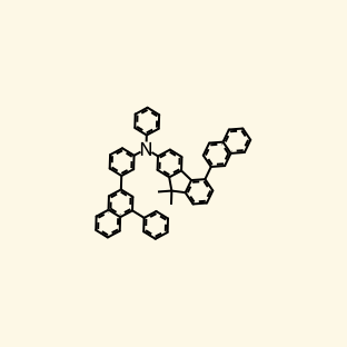 CC1(C)c2cc(N(c3ccccc3)c3cccc(-c4cc(-c5ccccc5)c5ccccc5c4)c3)ccc2-c2c(-c3ccc4ccccc4c3)cccc21